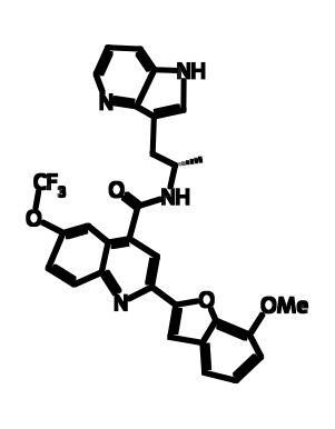 COc1cccc2cc(-c3cc(C(=O)N[C@@H](C)Cc4c[nH]c5cccnc45)c4cc(OC(F)(F)F)ccc4n3)oc12